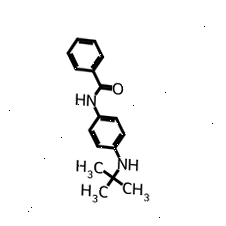 CC(C)(C)Nc1ccc(NC(=O)c2ccccc2)cc1